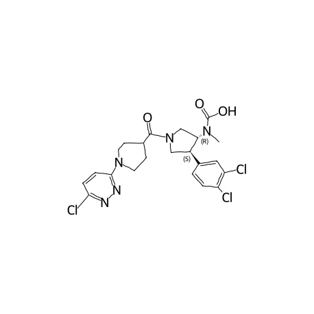 CN(C(=O)O)[C@H]1CN(C(=O)C2CCN(c3ccc(Cl)nn3)CC2)C[C@@H]1c1ccc(Cl)c(Cl)c1